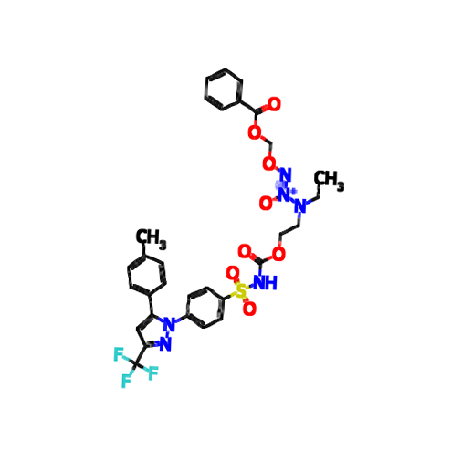 CCN(CCOC(=O)NS(=O)(=O)c1ccc(-n2nc(C(F)(F)F)cc2-c2ccc(C)cc2)cc1)/[N+]([O-])=N/OCOC(=O)c1ccccc1